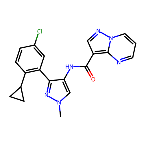 Cn1cc(NC(=O)c2cnn3cccnc23)c(-c2cc(Cl)ccc2C2CC2)n1